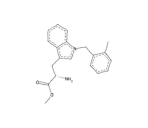 COC(=O)[C@@H](N)Cc1cn(Cc2ccccc2C)c2ccccc12